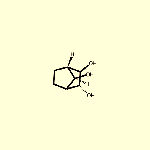 OC1[C@H](O)C2CC[C@H]1[C@H]2O